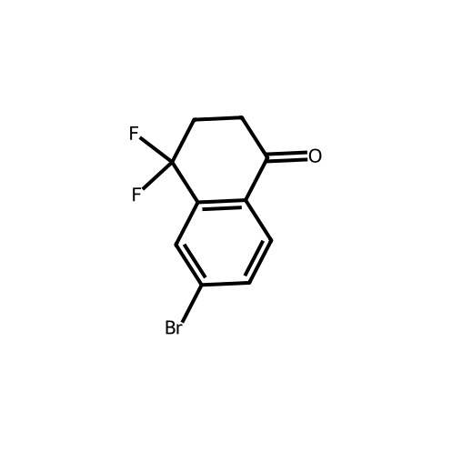 O=C1CCC(F)(F)c2cc(Br)ccc21